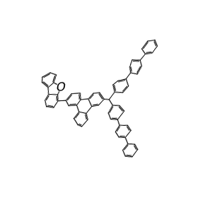 c1ccc(-c2ccc(-c3ccc(C(c4ccc(-c5ccc(-c6ccccc6)cc5)cc4)c4ccc5c6ccc(-c7cccc8c7oc7ccccc78)cc6c6ccccc6c5c4)cc3)cc2)cc1